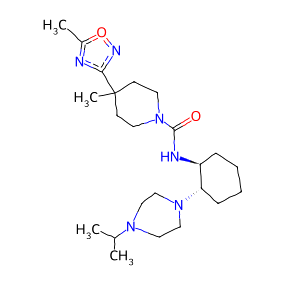 Cc1nc(C2(C)CCN(C(=O)N[C@H]3CCCC[C@@H]3N3CCN(C(C)C)CC3)CC2)no1